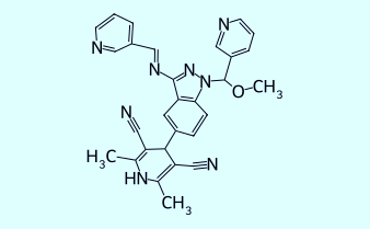 COC(c1cccnc1)n1nc(/N=C/c2cccnc2)c2cc(C3C(C#N)=C(C)NC(C)=C3C#N)ccc21